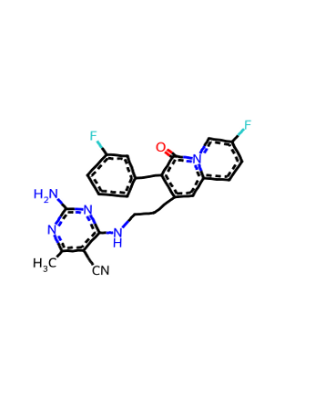 Cc1nc(N)nc(NCCc2cc3ccc(F)cn3c(=O)c2-c2cccc(F)c2)c1C#N